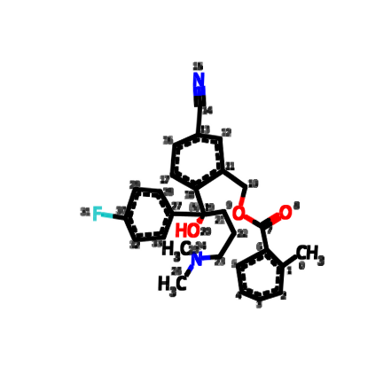 Cc1ccccc1C(=O)OCc1cc(C#N)ccc1[C@](O)(CCCN(C)C)c1ccc(F)cc1